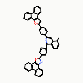 CC1C=CC=C2C(c3ccc(C4Nc5c(c6c(c7ccccc57)C=CCC6)O4)cc3)=NC(c3ccc(-c4cc5c6ccccc6c6ccccc6c5o4)cc3)=CC21